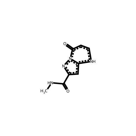 CNC(=O)c1cc2[nH]ccc(=O)n2n1